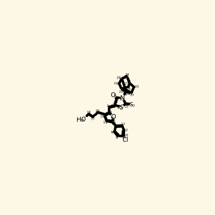 O=C1/C(=C/c2oc(-c3ccc(Cl)cc3)cc2CCCO)SC(=S)N1C1C2CC3CC(C2)CC1C3